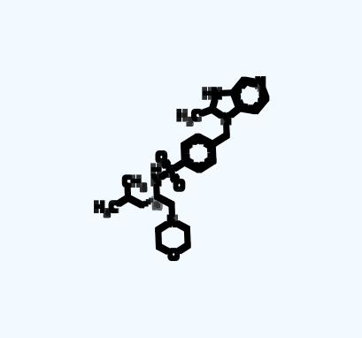 CC(C)C[C@@H](CN1CCOCC1)NS(=O)(=O)c1ccc(CN2c3ccncc3NC2C)cc1